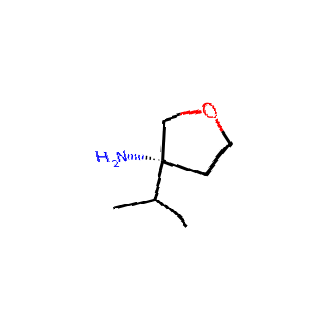 CC(C)[C@]1(N)CCOC1